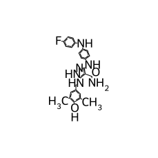 Cc1cc(CNc2[nH]nc(Nc3ccc(Nc4ccc(F)cc4)cc3)c2C(N)=O)cc(C)c1O